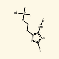 CC(C)(C)[Si](C)(C)OCCc1cc(Cl)s[c]1[Mg][Br]